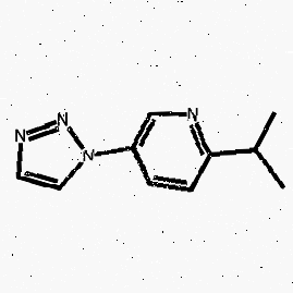 CC(C)c1ccc(-n2ccnn2)cn1